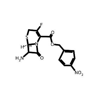 NC1C(=O)N2C(C(=O)OCc3ccc([N+](=O)[O-])cc3)=C(F)CS[C@H]12